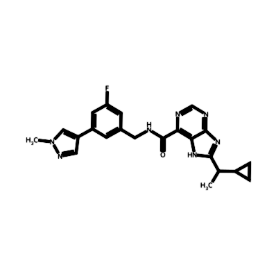 CC(c1nc2ncnc(C(=O)NCc3cc(F)cc(-c4cnn(C)c4)c3)c2[nH]1)C1CC1